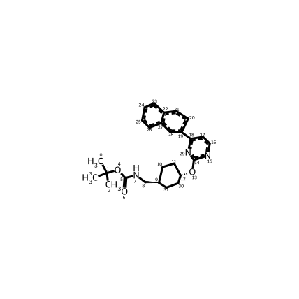 CC(C)(C)OC(=O)NC[C@H]1CC[C@H](Oc2nccc(-c3ccc4ccccc4c3)n2)CC1